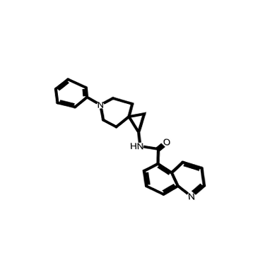 O=C(NC1CC12CCN(c1ccccc1)CC2)c1cccc2ncccc12